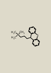 C[N+](C)(C)CCCC1c2ccccc2Sc2ccccc21